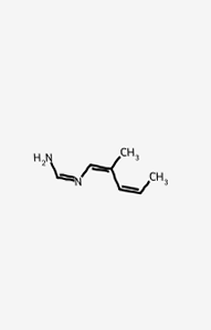 C\C=C/C(C)=C\N=C/N